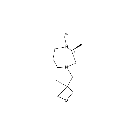 CC(C)N1CCCN(CC2(C)COC2)C[C@@H]1C